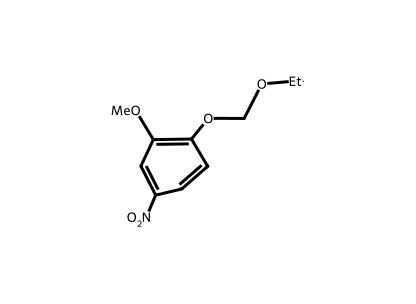 C[CH]OCOc1ccc([N+](=O)[O-])cc1OC